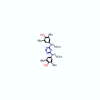 CCCCCCCCSN(c1cc(C(C)(C)C)c(O)c(C(C)(C)C)c1)c1ncnc(N(SCCCCCCCC)c2cc(C(C)(C)C)c(O)c(C(C)(C)C)c2)n1